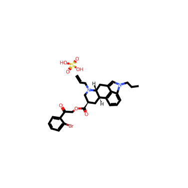 C=CCN1C[C@H](C(=O)OCC(=O)c2ccccc2Br)C[C@@H]2c3cccc4c3c(cn4CCC)C[C@H]21.O=S(=O)(O)O